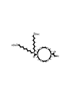 CCCCCCCCCCCCCCCCCCN(CCCCCCCCCCCCCCCCCC)C(=O)N1CCOCCOCCN(C(=O)CC(C)=O)CCOCCOCC1